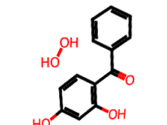 O=C(c1ccccc1)c1ccc(O)cc1O.OO